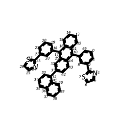 c1cc(-c2nccs2)cc(-c2c3ccccc3c(-c3cccc(-c4nccs4)c3)c3cc(-c4cccc5ccccc45)ccc23)c1